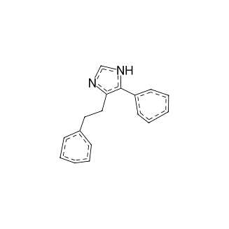 c1ccc(CCc2nc[nH]c2-c2ccccc2)cc1